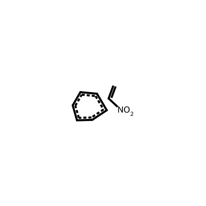 C=C[N+](=O)[O-].c1ccccc1